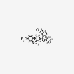 O=C(c1cc([N+](=O)[O-])ccc1N1CCOCC1)N1CCN(c2ccc(C(F)(F)F)cc2[N+](=O)[O-])CC1